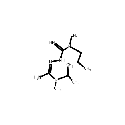 CCCN(C)C(=N)NN=C(N)N(C)C(C)C